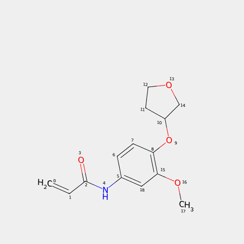 C=CC(=O)Nc1ccc(OC2CCOC2)c(OC)c1